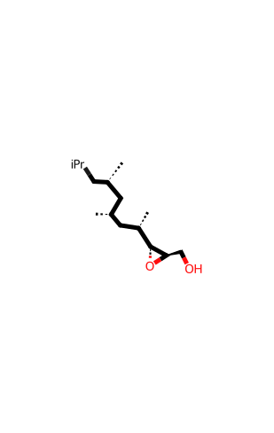 CC(C)C[C@H](C)C[C@@H](C)C[C@H](C)[C@H]1O[C@@H]1CO